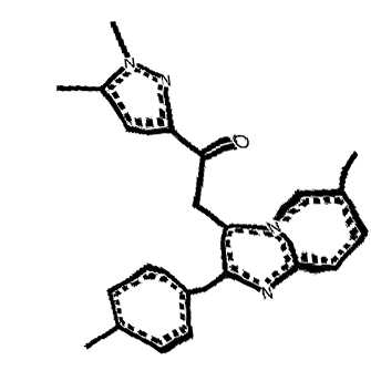 Cc1ccc(-c2nc3ccc(C)cn3c2CC(=O)c2cc(C)n(C)n2)cc1